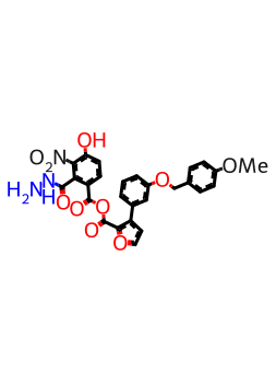 COc1ccc(COc2cccc(-c3ccoc3C(=O)OC(=O)c3ccc(O)c([N+](=O)[O-])c3C(=O)NN)c2)cc1